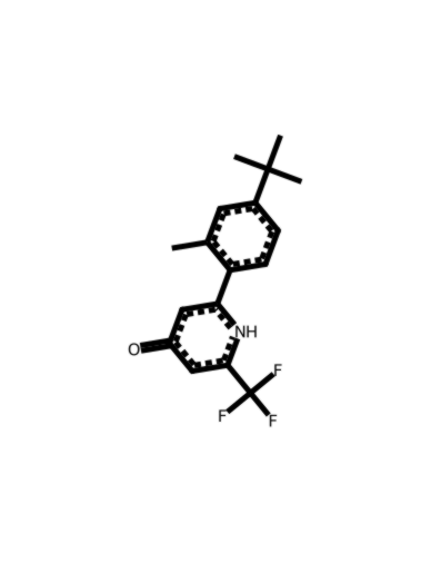 Cc1cc(C(C)(C)C)ccc1-c1cc(=O)cc(C(F)(F)F)[nH]1